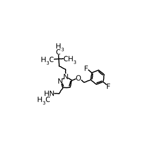 CNCc1cc(OCc2cc(F)ccc2F)n(CCC(C)(C)C)n1